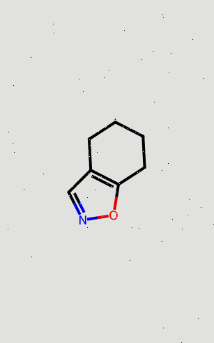 [CH]1CCc2oncc2C1